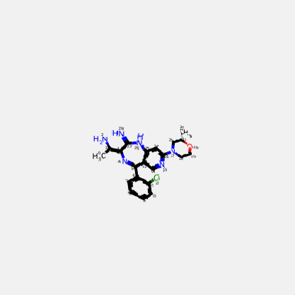 C/C(N)=C1\N=C(c2ccccc2Cl)c2cnc(N3CCO[C@@H](C)C3)cc2NC1=N